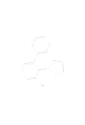 Nc1cn[c]c(-c2ccccc2)c1N1CCCC1